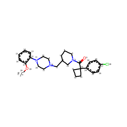 O=C(N1CCCC(CN2CCN(c3ccccc3OC(F)(F)F)CC2)C1)C1(c2ccc(Cl)cc2)CCC1